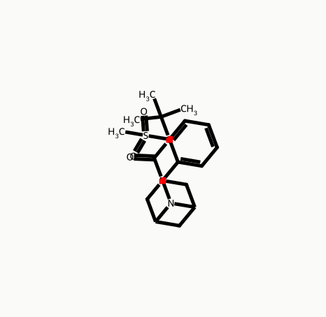 CC(C)(C)OC(=O)N1CC2CC(C1)N2Cc1ccccc1S(C)(=O)=O